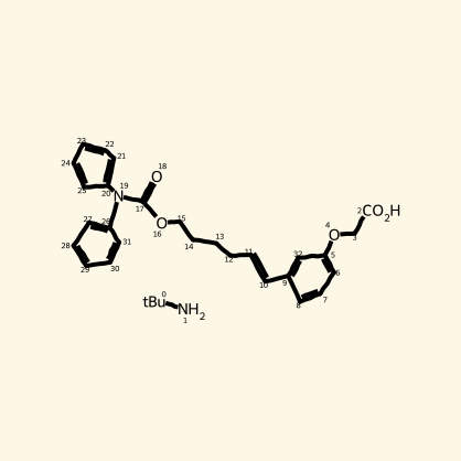 CC(C)(C)N.O=C(O)COc1cccc(C=CCCCCOC(=O)N(c2ccccc2)c2ccccc2)c1